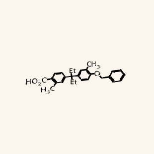 CCC(CC)(c1ccc(OCc2ccccc2)c(C)c1)c1ccc(C(=O)O)c(C)c1